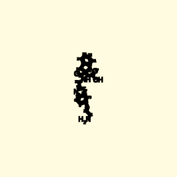 NC/C=C/c1ccc2nc(CNC(=O)C3(CC(=O)O)Cc4ccccc4C3)sc2c1